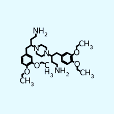 CCOc1ccc(CC(CCN)N2CCN(C(CCN)Cc3ccc(OCC)c(OCC)c3)CC2)cc1OCC